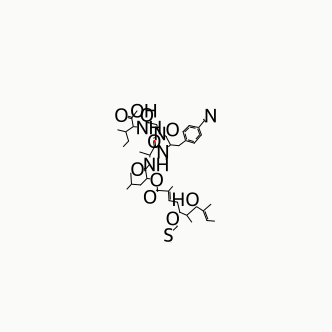 C/C=C(\C)C(O)C(C)C(C/C=C(\C)C(=O)OC(CC(C)C)C(=O)NC(C)C(=O)N(C)C(Cc1ccc(C#N)cc1)C(=O)N(C)CC(=O)NC(C(=O)O)C(C)CC)OCSC